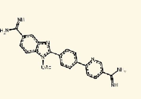 CC(=O)On1c(-c2ccc(-c3ccc(C(=N)N)cn3)cc2)nc2cc(C(=N)N)ccc21